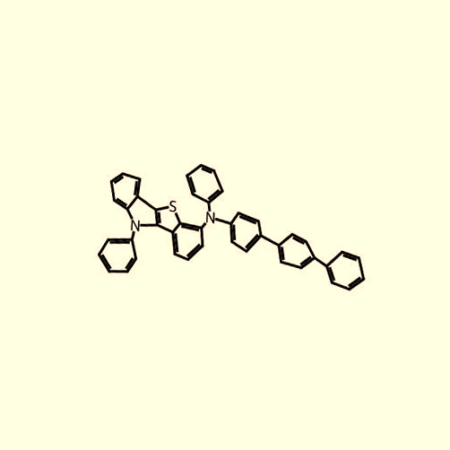 c1ccc(-c2ccc(-c3ccc(N(c4ccccc4)c4cccc5c4sc4c6ccccc6n(-c6ccccc6)c54)cc3)cc2)cc1